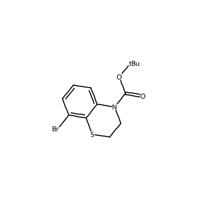 CC(C)(C)OC(=O)N1CCSc2c(Br)cccc21